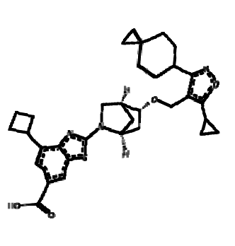 O=C(O)c1cc(C2CCC2)c2nc(N3C[C@@H]4C[C@H]3C[C@H]4OCc3c(C4CCC5(CC4)CC5)noc3C3CC3)sc2c1